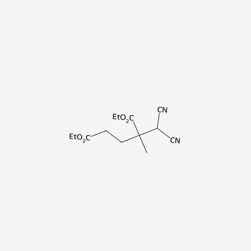 CCOC(=O)CCC(C)(C(=O)OCC)C(C#N)C#N